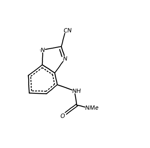 CNC(=O)Nc1cccc2c1N=C(C#N)[N]2